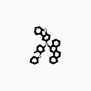 Cc1ccc(N(c2ccc3oc4ccccc4c3c2)c2cc3c4ccccc4ccc3c3ccccc23)cc1Sc1ccccc1